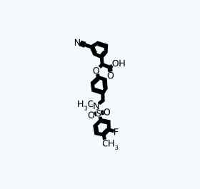 Cc1ccc(S(=O)(=O)N(C)Cc2ccc(OC(C(=O)O)c3cccc(C#N)c3)cc2)cc1F